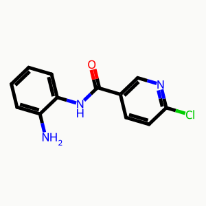 Nc1ccccc1NC(=O)c1ccc(Cl)nc1